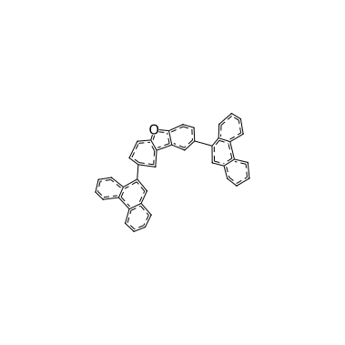 c1ccc2c(c1)cc(-c1ccc3oc4ccc(-c5cc6ccccc6c6ccccc56)cc4c3c1)c1ccccc12